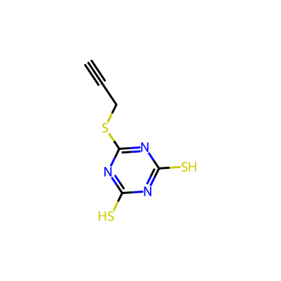 C#CCSc1nc(S)nc(S)n1